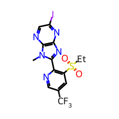 CCS(=O)(=O)c1cc(C(F)(F)F)cnc1-c1nc2nc(I)cnc2n1C